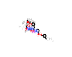 C=CCC[C@@H](OCC)[C@@H](C)C(=O)NC(C(=O)NC(Cc1cccc(O[Si](C)(C)C(C)(C)C)c1)C(=O)N1CCCC(C(=O)OCc2cccc(C=C)c2)N1)C(C)C